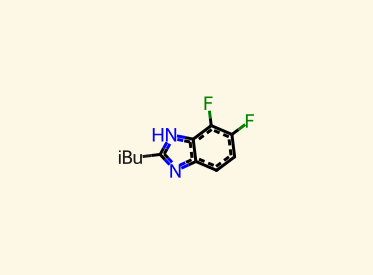 CCC(C)c1nc2ccc(F)c(F)c2[nH]1